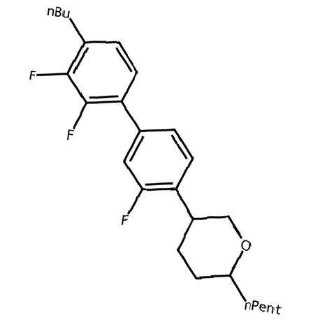 CCCCCC1CCC(c2ccc(-c3ccc(CCCC)c(F)c3F)cc2F)CO1